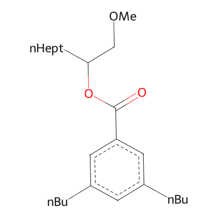 CCCCCCCC(COC)OC(=O)c1cc(CCCC)cc(CCCC)c1